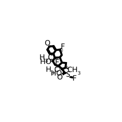 C[C@@H]1CC2C3C[C@H](F)C4=CC(=O)C=C[C@]4(C)[C@@]3(F)[C@@H](O)C[C@]2(C)[C@@]1(O)C(=O)SCF